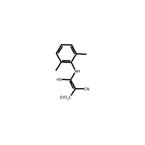 CCOC(=O)C(C#N)=C(S)Nc1c(C)cccc1C